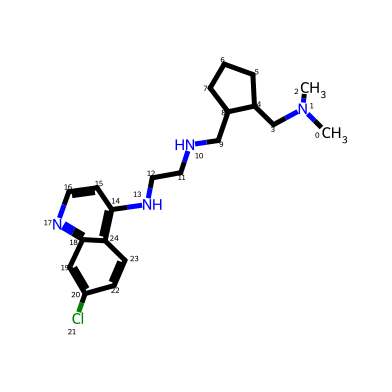 CN(C)CC1CCCC1CNCCNc1ccnc2cc(Cl)ccc12